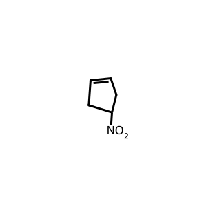 O=[N+]([O-])C1CC=CC1